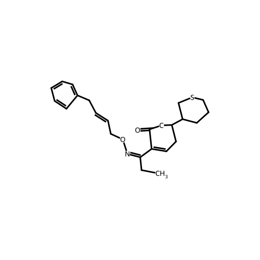 CCC(=NOCC=CCc1ccccc1)C1=CCC(C2CCCSC2)CC1=O